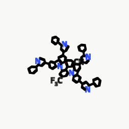 N#Cc1cccc(-c2c(-n3c4ccc(-c5ccnc(-c6ccccc6)c5)cc4c4cc(-c5ccnc(-c6ccccc6)c5)ccc43)cc(C(F)(F)F)cc2-n2c3ccc(-c4ccnc(-c5ccccc5)c4)cc3c3cc(-c4ccnc(-c5ccccc5)c4)ccc32)c1